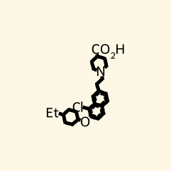 CCC1CCC(Oc2ccc3ccc(CCN4CCC(C(=O)O)CC4)cc3c2Cl)CC1